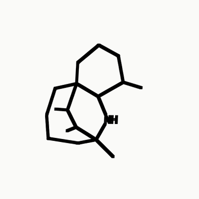 CC1CCCC23CCCCC(C)(NC12)C(C)C3C